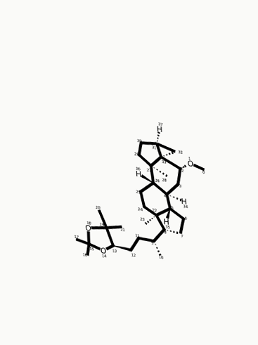 CO[C@@H]1C[C@H]2[C@@H]3CC[C@H]([C@H](C)CC[C@H]4OC(C)(C)OC4(C)C)[C@@]3(C)CC[C@@H]2[C@@]2(C)CC[C@H]3C[C@]312